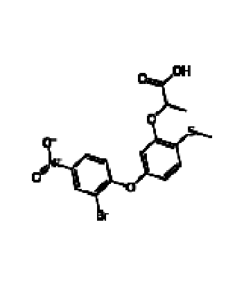 CSc1ccc(Oc2ccc([N+](=O)[O-])cc2Br)cc1OC(C)C(=O)O